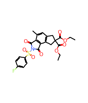 CCOC(=O)C1(C(=O)OCC)Cc2cc(C)c3c(c2C1)C(=O)N(S(=O)(=O)c1ccc(F)cc1)C3=O